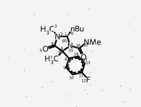 CCCC[C@@H]1N(C)C(=O)[C@@](C)(c2ccc(F)cc2)N1C(=O)NC